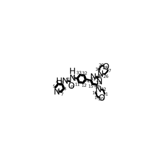 O=C(Nc1ccncc1)Nc1ccc(-c2cc(N3CCOCC3)nc(N3CCOCC3)n2)cc1